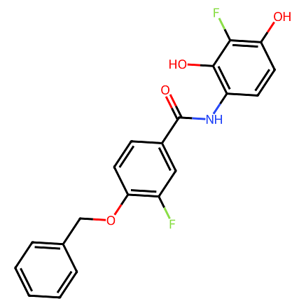 O=C(Nc1ccc(O)c(F)c1O)c1ccc(OCc2ccccc2)c(F)c1